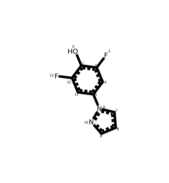 Oc1c(F)cc(-n2cccn2)cc1F